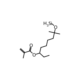 C=C(C)C(=O)OC(CC)CCCCC(C)(C)O[SiH3]